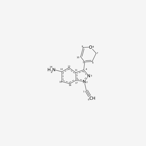 C#Cn1nc(C2=CCOC=C2)c2cc(N)ccc21